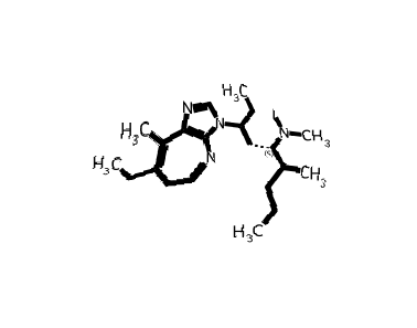 CCCC(C)[C@H](CC(CC)n1cnc2c1N=CCC(CC)=C2C)N(C)I